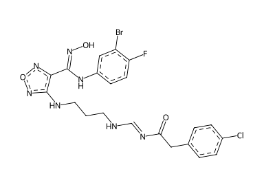 O=C(Cc1ccc(Cl)cc1)/N=C/NCCCNc1nonc1/C(=N/O)Nc1ccc(F)c(Br)c1